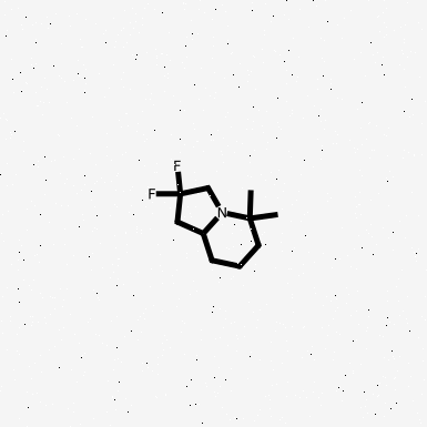 CC1(C)CCCC2CC(F)(F)CN21